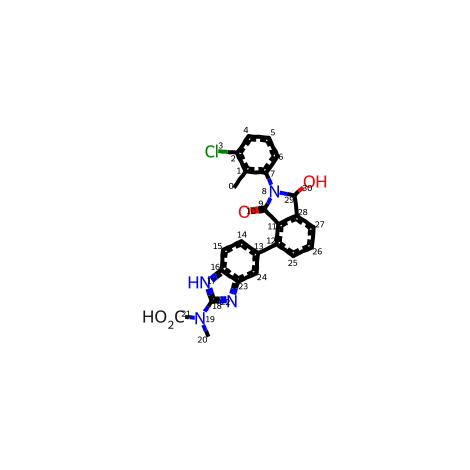 Cc1c(Cl)cccc1N1C(=O)c2c(-c3ccc4[nH]c(N(C)C(=O)O)nc4c3)cccc2C1O